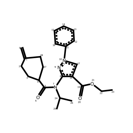 C=C1CCC(C(=O)N(c2nn(-c3ccccc3)cc2C(=O)OCC)C(C)C)CC1